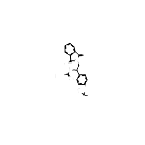 O=C(O)NC(CN1C(=O)c2ccccc2C1=O)c1ccc(OC(F)(F)F)cc1